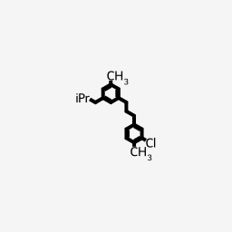 Cc1cc(CCCc2ccc(C)c(Cl)c2)cc(CC(C)C)c1